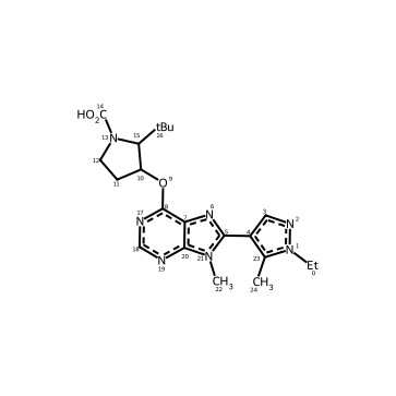 CCn1ncc(-c2nc3c(OC4CCN(C(=O)O)C4C(C)(C)C)ncnc3n2C)c1C